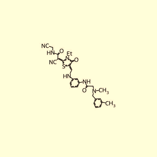 CCn1c(=C(C#N)C(=O)NCC#N)sc(=CNc2cccc(NC(=O)CN(C)Cc3cccc(C)c3)c2)c1=O